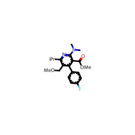 COCc1c(C(C)C)nc(N(C)C)c(C(=O)OC)c1-c1ccc(F)cc1